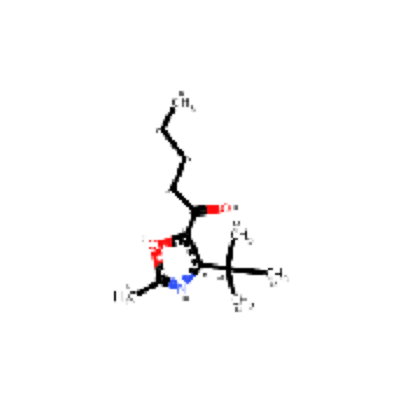 CCCCC(=O)c1oc(C)nc1C(C)(C)C